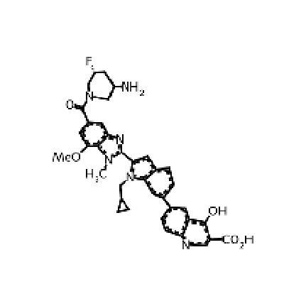 COc1cc(C(=O)N2C[C@H](N)C[C@@H](F)C2)cc2nc(-c3cc4ccc(-c5ccc6ncc(C(=O)O)c(O)c6c5)cc4n3CC3CC3)n(C)c12